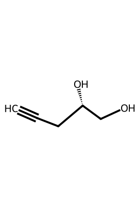 C#CC[C@H](O)CO